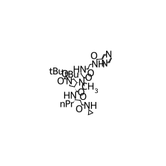 CCC[C@H](NC(=O)[C@@H]1CN(C(=O)OC(C)(C)C)C[C@@H]1N(C)C(=O)[C@@H](NC(=O)CNC(=O)c1cnccn1)C(C)(C)C)C(=O)C(=O)NC1CC1